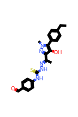 CCc1ccc(-c2c(O)c(/C(C)=N/NC(=S)Nc3ccc(C=O)cc3)nn2C)cc1